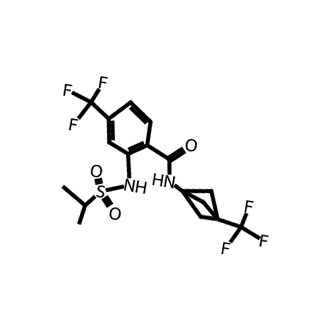 CC(C)S(=O)(=O)Nc1cc(C(F)(F)F)ccc1C(=O)NC12CC(C(F)(F)F)(C1)C2